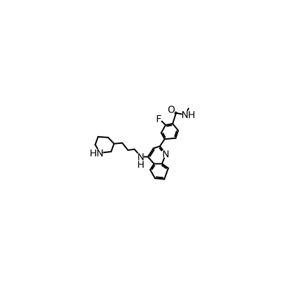 CNC(=O)c1ccc(-c2cc(NCCCC3CCCNC3)c3ccccc3n2)cc1F